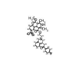 COC(=O)C1=C(C)NC(C)=C(C(=O)OCCN(CCCC(=O)c2ccc(F)cc2)Cc2ccccc2)C1c1cccc([N+](=O)[O-])c1